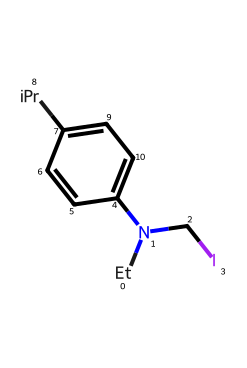 CCN(CI)c1ccc(C(C)C)cc1